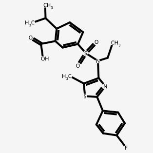 CCN(c1nc(-c2ccc(F)cc2)sc1C)S(=O)(=O)c1ccc(C(C)C)c(C(=O)O)c1